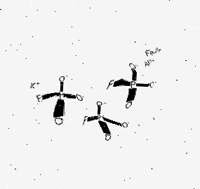 O=P([O-])([O-])F.O=P([O-])([O-])F.O=P([O-])([O-])F.[Al+3].[Fe+2].[K+]